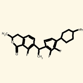 CCCC1CCC(c2ccc(C(C)c3ccc4c(c3F)C(=O)OC(C)C4)c(F)c2F)CC1